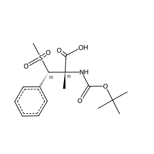 CC(C)(C)OC(=O)N[C@@](C)(C(=O)O)[C@H](c1ccccc1)S(C)(=O)=O